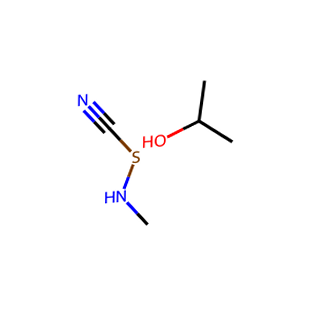 CC(C)O.CNSC#N